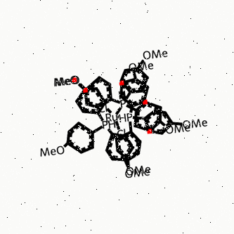 COc1ccc([PH](c2ccc(OC)cc2)(c2ccc(OC)cc2)[Ru]([Cl])([Cl])([PH](c2ccc(OC)cc2)(c2ccc(OC)cc2)c2ccc(OC)cc2)[PH](c2ccc(OC)cc2)(c2ccc(OC)cc2)c2ccc(OC)cc2)cc1